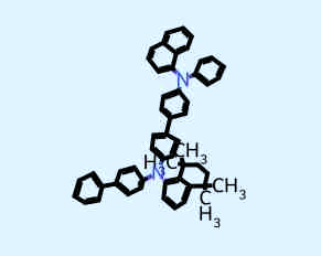 CC1(C)CCC(C)(C)c2c(N(c3ccc(-c4ccccc4)cc3)c3ccc(-c4ccc(N(c5ccccc5)c5cccc6ccccc56)cc4)cc3)cccc21